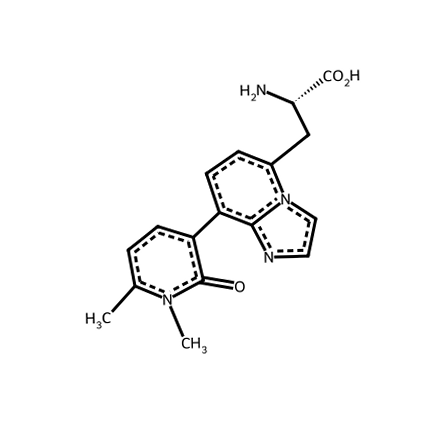 Cc1ccc(-c2ccc(C[C@H](N)C(=O)O)n3ccnc23)c(=O)n1C